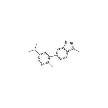 Cc1ncc(C(C)C)cc1-c1ccc2c(c1)ncn2C